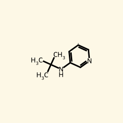 CC(C)(C)Nc1c[c]cnc1